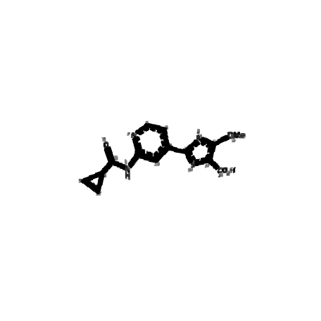 COc1nc(-c2ccnc(NC(=O)C3CC3)c2)sc1C(=O)O